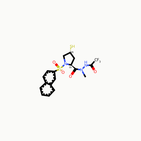 CN(NC(=O)C(F)(F)F)C(=O)[C@@H]1C[C@@H](S)CN1S(=O)(=O)c1ccc2ccccc2c1